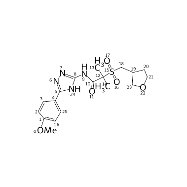 COc1ccc(-c2nnc(NC(=O)C(C)(C)S(=O)(=O)CC3CCOC3)[nH]2)cc1